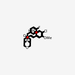 COc1cc(/C=C/C(=O)N2C3COCC2CN(Cc2ccc(F)cc2)C3)c(N)cc1Cl